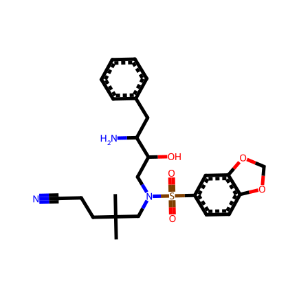 CC(C)(CCC#N)CN(CC(O)C(N)Cc1ccccc1)S(=O)(=O)c1ccc2c(c1)OCO2